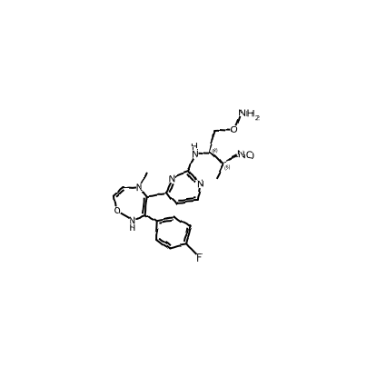 C[C@H](N=O)[C@H](CON)Nc1nccc(-c2c(-c3ccc(F)cc3)[nH]occn2C)n1